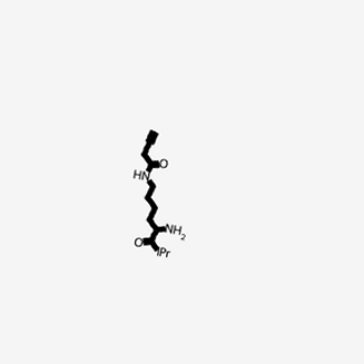 C#CCC(=O)NCCCCC(N)C(=O)C(C)C